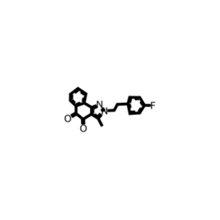 Cc1c2c(nn1CCc1ccc(F)cc1)-c1ccccc1C(=O)C2=O